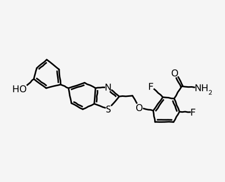 NC(=O)c1c(F)ccc(OCc2nc3cc(-c4cccc(O)c4)ccc3s2)c1F